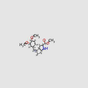 COC(=O)c1cc2c([nH]1)CC/C2=C/c1ccc(OC)c(OC)c1